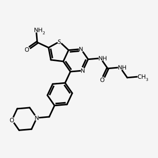 CCNC(=O)Nc1nc(-c2ccc(CN3CCOCC3)cc2)c2cc(C(N)=O)sc2n1